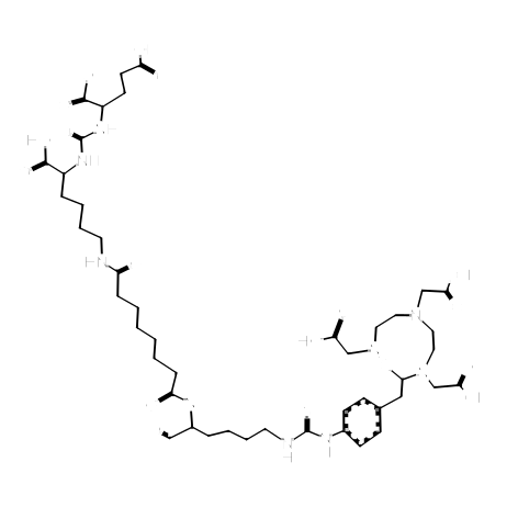 O=CC(CCCCNC(=S)Nc1ccc(CC2CN(CC(=O)O)CCN(CC(=O)O)CCN2CC(=O)O)cc1)NC(=O)CCCCCCC(=O)NCCCCC(NC(=O)NC(CCC(=O)O)C(=O)O)C(=O)O